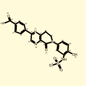 CCS(=O)(=O)Nc1cc(N2CCc3nc(-c4ccc(C(=O)F)cc4)cnc3C2=O)ccc1O